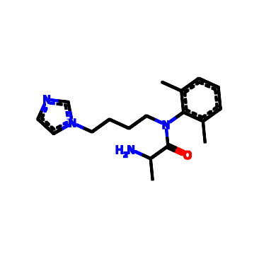 Cc1cccc(C)c1N(CCCCn1ccnc1)C(=O)C(C)N